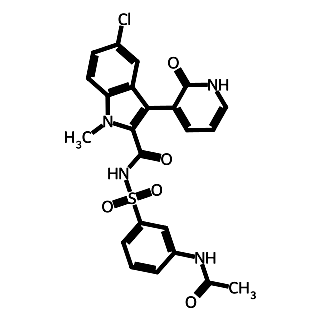 CC(=O)Nc1cccc(S(=O)(=O)NC(=O)c2c(-c3ccc[nH]c3=O)c3cc(Cl)ccc3n2C)c1